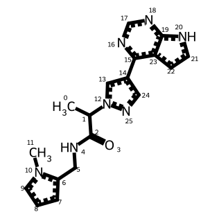 CC(C(=O)NCc1cccn1C)n1cc(-c2ncnc3[nH]ccc23)cn1